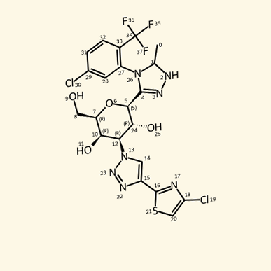 CC1NN=C([C@@H]2O[C@H](CO)[C@H](O)[C@H](n3cc(-c4nc(Cl)cs4)nn3)[C@H]2O)N1c1cc(Cl)ccc1C(F)(F)F